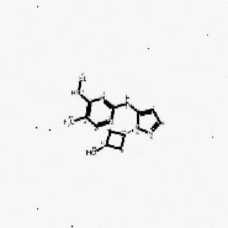 CCNc1nc(Nc2ccnn2[C@H]2C[C@H](O)C2)ncc1C(F)(F)F